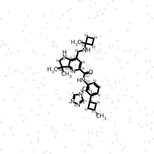 Cn1cnnc1[C@]1(c2cccc(NC(=O)c3cc(CNC4(C)CCC4)c4c(n3)C(C)(C)CN4)c2)C[C@H](C)C1